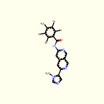 [2H]c1c([2H])c(C(=O)Nc2cc3cc(-c4cncn4C)ncc3cn2)c([2H])c([2H])c1C